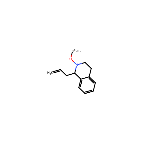 C=CCC1c2ccccc2CCN1OCCCCC